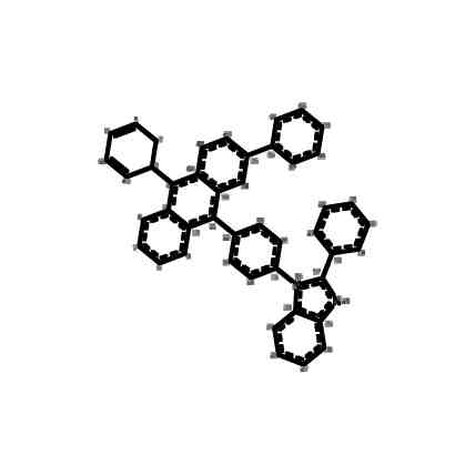 C1=CCC(c2c3ccccc3c(-c3ccc(-n4c(-c5ccccc5)nc5ccccc54)cc3)c3cc(-c4ccccc4)ccc23)C=C1